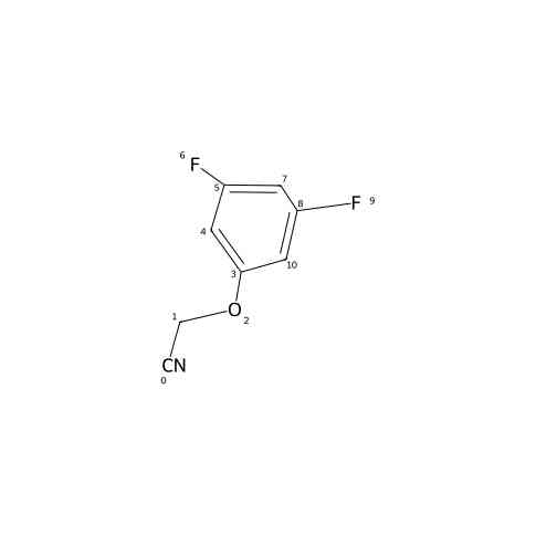 N#CCOc1cc(F)cc(F)c1